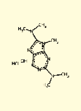 CN(C)c1ncc2nc(N(C)C)n(C)c2n1.Cl.Cl